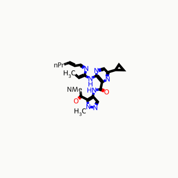 C\C=C(/N=C\C=C\CCC)Nc1ncc(C2CC2)nc1C(=O)Nc1cnn(C)c1C(=O)NC